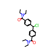 CCN(CC)C(=O)c1ccc(C(Cl)c2ccc(C(=O)N(CC)CC)cc2)cc1